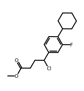 COC(=O)CCC(Cl)c1ccc(C2CCCCC2)c(F)c1